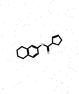 O=C(Oc1ccc2c(c1)CCCC2)C1C=CCC1